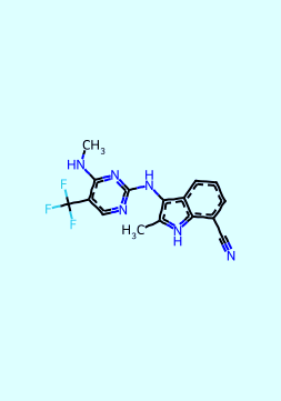 CNc1nc(Nc2c(C)[nH]c3c(C#N)cccc23)ncc1C(F)(F)F